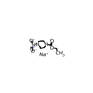 CCOC(=O)N1CCN(/[N+]([O-])=N\[O-])CC1.[Na+]